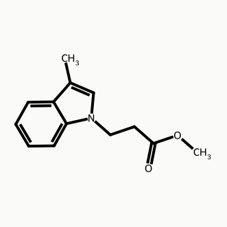 COC(=O)CCn1cc(C)c2ccccc21